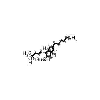 CCCC[C@](C)(O)C/C=C/[C@@H]1[C@H]2CC(CCCCCN)=C[C@H]2C[C@H]1O